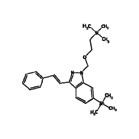 C[Si](C)(C)CCOCn1nc(C=Cc2ccccc2)c2cc[c]([Sn]([CH3])([CH3])[CH3])cc21